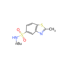 CCCCNS(=O)(=O)c1ccc2sc(C)nc2c1